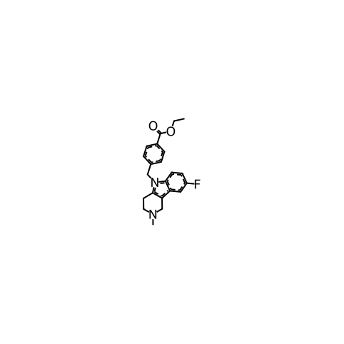 CCOC(=O)c1ccc(Cn2c3c(c4cc(F)ccc42)CN(C)CC3)cc1